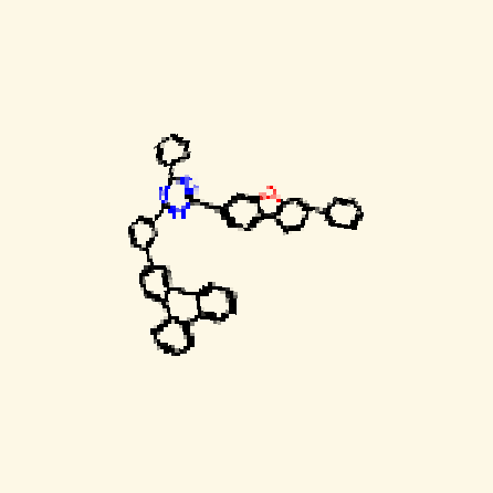 c1ccc(-c2ccc3c(c2)oc2cc(-c4nc(-c5ccccc5)nc(-c5cccc(-c6ccc7c8ccccc8c8ccccc8c7c6)c5)n4)ccc23)cc1